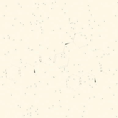 NCCON[C@@H](Cc1ccccc1)C(=O)O.N[C@@H](Cc1ccccc1)C(=O)O.N[C@@H](Cc1ccccc1)C(=O)O